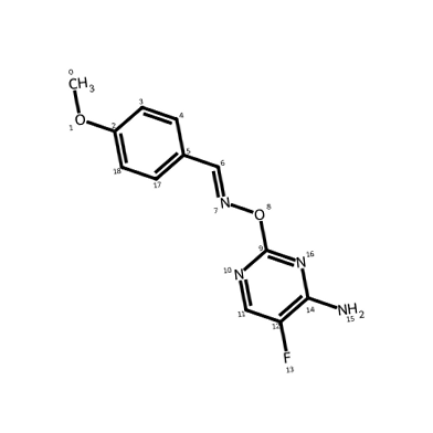 COc1ccc(/C=N/Oc2ncc(F)c(N)n2)cc1